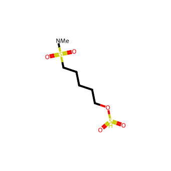 CNS(=O)(=O)CCCCCO[SH](=O)=O